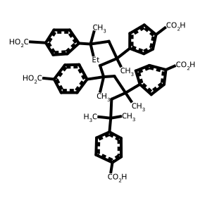 CCC(C)(CC(C)(CC(C)(CC(C)(CC(C)(C)c1ccc(C(=O)O)cc1)c1ccc(C(=O)O)cc1)c1ccc(C(=O)O)cc1)c1ccc(C(=O)O)cc1)c1ccc(C(=O)O)cc1